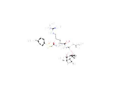 CNC(=N)NCCC[C@H](NC(=O)CS(=O)(=O)c1ccc(C)cc1)C(=O)N[C@@H](CC(C)C)B1O[C@@H]2C[C@@H]3C[C@@H](C3(C)C)[C@]2(C)O1